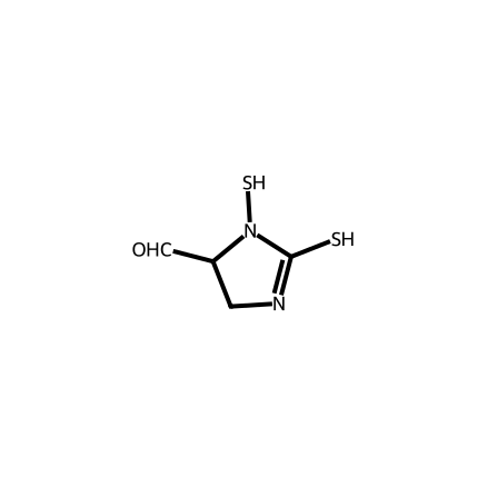 O=CC1CN=C(S)N1S